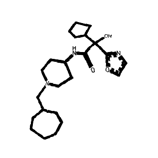 O=C(NC1CCN(CC2CCCCCC2)CC1)C(O)(c1ncco1)C1CCCC1